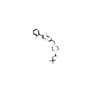 CC(C)(C)CC(=O)N1CCN(Cc2cn3cc(-c4ccccc4N)nc3s2)CC1